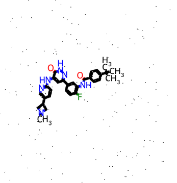 CN1CC(c2ccc(Nc3cc(-c4ccc(F)c(NC(=O)c5ccc(C(C)(C)C)cc5)c4)n[nH]c3=O)nc2)C1